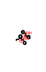 C=CCc1ccccc1C(=O)C(O)c1ccccc1.O=C(c1ccccc1)C(O)c1ccccc1